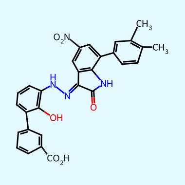 Cc1ccc(-c2cc([N+](=O)[O-])cc3c2NC(=O)C3=NNc2cccc(-c3cccc(C(=O)O)c3)c2O)cc1C